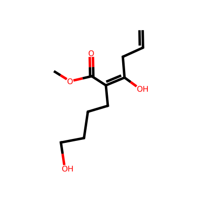 C=CCC(O)=C(CCCCO)C(=O)OC